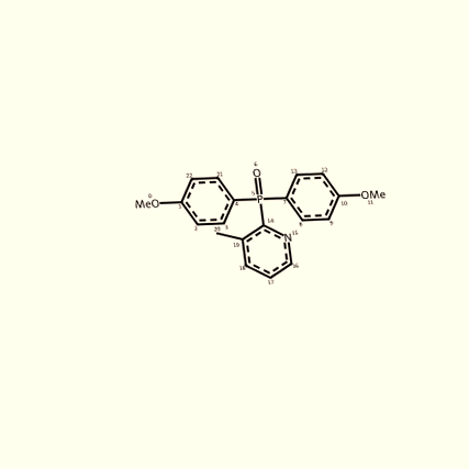 COc1ccc(P(=O)(c2ccc(OC)cc2)c2ncccc2C)cc1